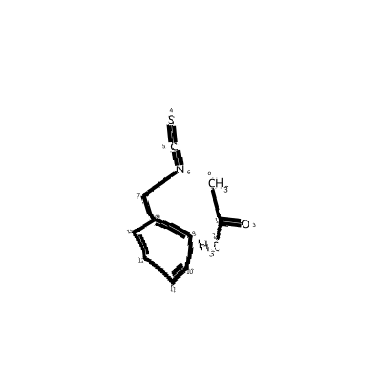 CC(C)=O.S=C=NCc1ccccc1